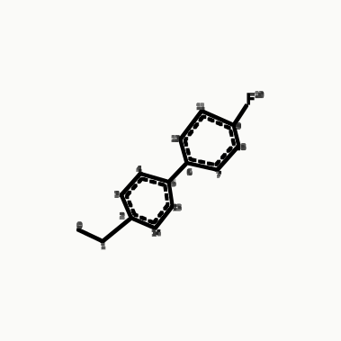 CCc1ccc(-c2c[c]c(F)cc2)cc1